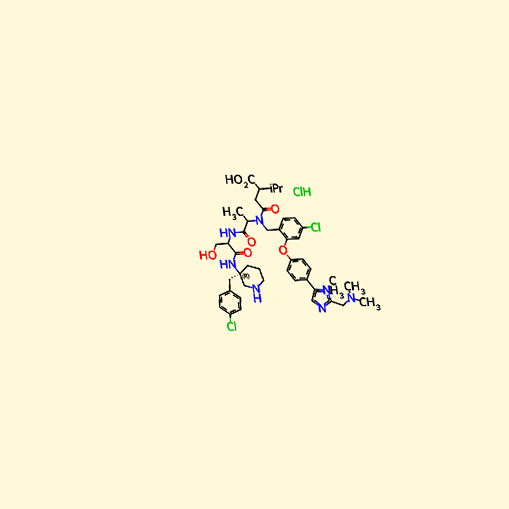 CC(C)C(CC(=O)N(Cc1ccc(Cl)cc1Oc1ccc(-c2cnc(CN(C)C)n2C)cc1)C(C)C(=O)NC(CO)C(=O)N[C@@]1(Cc2ccc(Cl)cc2)CCCNC1)C(=O)O.Cl